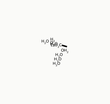 CCOC(C)=O.O.O.O.O.O.O.O